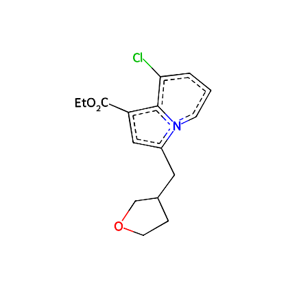 CCOC(=O)c1cc(CC2CCOC2)n2cccc(Cl)c12